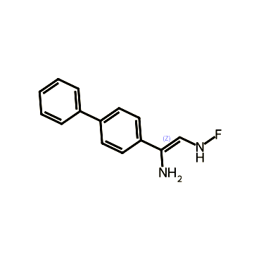 N/C(=C\NF)c1ccc(-c2ccccc2)cc1